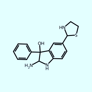 NC1Nc2ccc(C3NCCS3)cc2C1(O)c1ccccc1